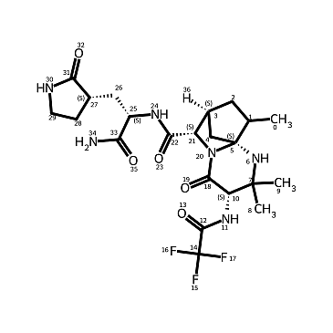 CC1C[C@H]2C[C@@]13NC(C)(C)[C@H](NC(=O)C(F)(F)F)C(=O)N3[C@@H]2C(=O)N[C@@H](C[C@@H]1CCNC1=O)C(N)=O